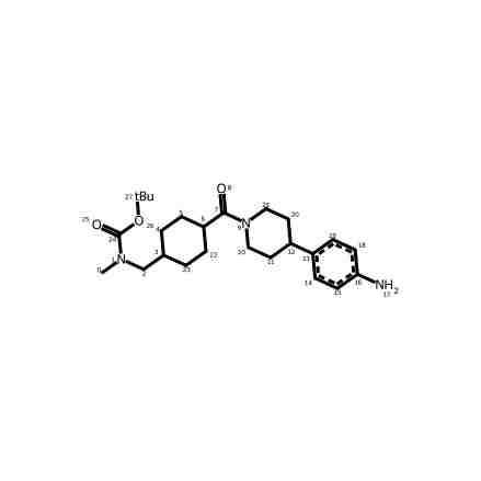 CN(CC1CCC(C(=O)N2CCC(c3ccc(N)cc3)CC2)CC1)C(=O)OC(C)(C)C